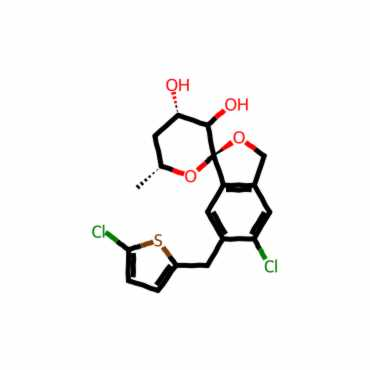 C[C@@H]1C[C@H](O)C(O)[C@@]2(OCc3cc(Cl)c(Cc4ccc(Cl)s4)cc32)O1